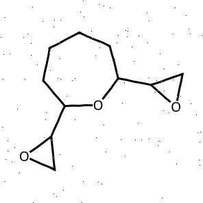 C1CCC(C2CO2)OC(C2CO2)C1